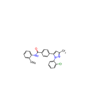 CSc1ccccc1NC(=O)c1ccc(-c2cc(C(F)(F)F)nn2-c2ccccc2Cl)cc1